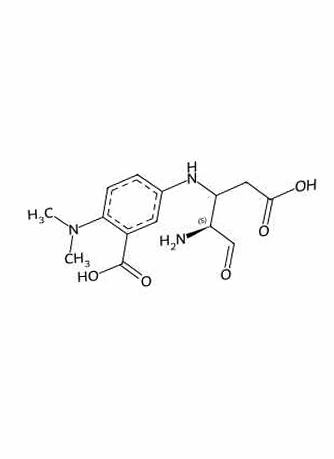 CN(C)c1ccc(NC(CC(=O)O)[C@H](N)C=O)cc1C(=O)O